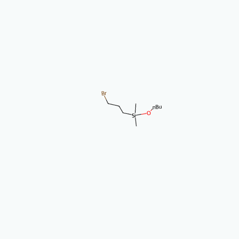 CCCCO[Si](C)(C)CCCBr